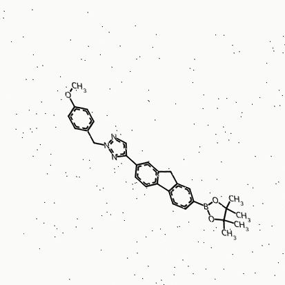 COc1ccc(Cn2ncc(-c3ccc4c(c3)Cc3cc(B5OC(C)(C)C(C)(C)O5)ccc3-4)n2)cc1